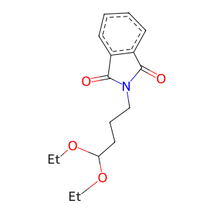 CCOC(CCCN1C(=O)c2ccccc2C1=O)OCC